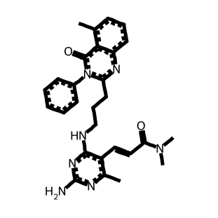 Cc1nc(N)nc(NCCCc2nc3cccc(C)c3c(=O)n2-c2ccccc2)c1/C=C/C(=O)N(C)C